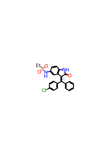 CCS(=O)(=O)Nc1ccc2c(c1)/C(=C(/c1ccccc1)c1ccc(Cl)cc1)C(=O)N2